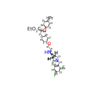 CCOC(=O)[C@H](Cc1ccc(OCCN[C@H]2[C@@H]3CN(Cc4c(F)cc(F)cc4F)C[C@@H]32)cc1)Oc1ccc(C(C)C)cc1